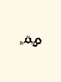 Brc1cncc(-n2ccc3ccccc32)c1